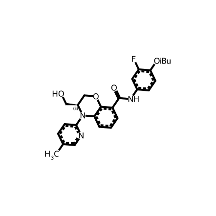 Cc1ccc(N2c3cccc(C(=O)Nc4ccc(OCC(C)C)c(F)c4)c3OC[C@@H]2CO)nc1